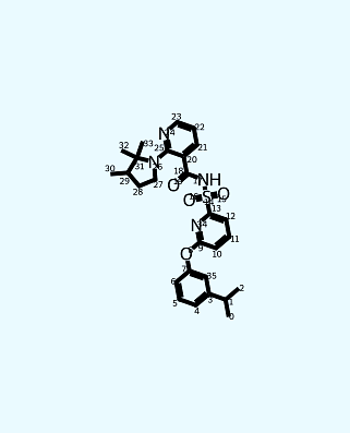 CC(C)c1cccc(Oc2cccc(S(=O)(=O)NC(=O)c3cccnc3N3CCC(C)C3(C)C)n2)c1